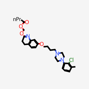 CCCC(=O)OCOC1=Nc2cc(OCCCCN3CCN(c4cccc(C)c4Cl)CC3)ccc2CC1